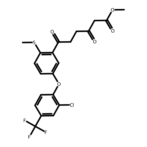 COC(=O)CC(=O)CCC(=O)c1cc(Oc2ccc(C(F)(F)F)cc2Cl)ccc1SC